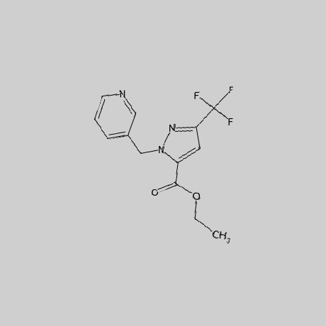 CCOC(=O)c1cc(C(F)(F)F)nn1Cc1cccnc1